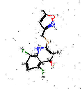 CC(=O)c1c(SCc2cc(C)on2)[nH]c2c(F)ccc(F)c2c1=O